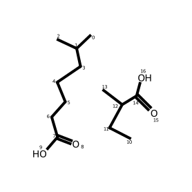 CC(C)CCCCC(=O)O.CCC(C)C(=O)O